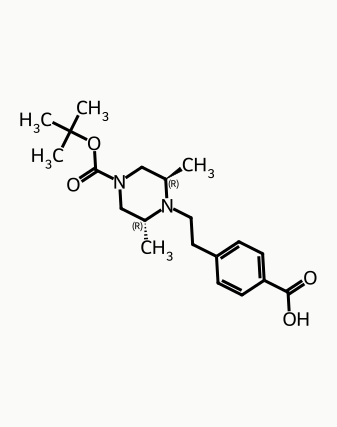 C[C@@H]1CN(C(=O)OC(C)(C)C)C[C@@H](C)N1CCc1ccc(C(=O)O)cc1